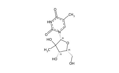 Cc1cn([C@@H]2O[C@H](CO)[C@H](O)C2(C)O)c(=O)[nH]c1=O